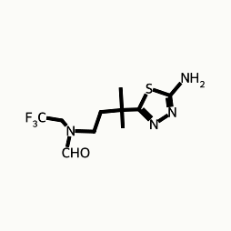 CC(C)(CCN(C=O)CC(F)(F)F)c1nnc(N)s1